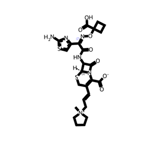 C[N+]1(CC=CC2=C(C(=O)[O-])N3C(=O)C(NC(=O)/C(=N\OC4(C(=O)O)CCC4)c4csc(N)n4)[C@@H]3SC2)CCCC1